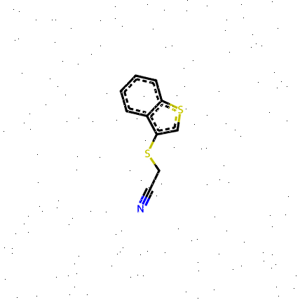 N#CCSc1csc2ccccc12